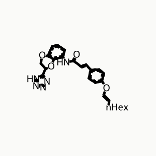 CCCCCCC=COc1ccc(C=CC(=O)Nc2cccc3c2OC(c2nnn[nH]2)CO3)cc1